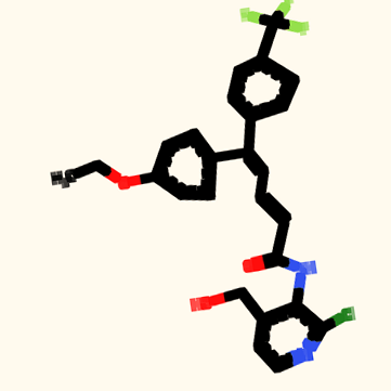 CCOc1ccc(/C(=C\C=C\C(=O)Nc2c(CO)ccnc2Cl)c2ccc(C(F)(F)F)cc2)cc1